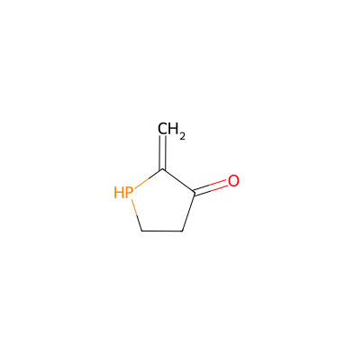 C=C1PCCC1=O